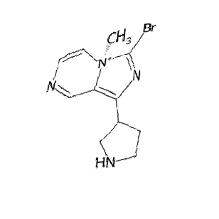 C[N@@+]12C=CN=CC1=C(C1CCNC1)N=C2Br